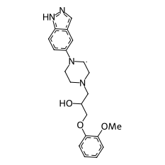 COc1ccccc1OCC(O)CN1C[CH]N(c2ccc3[nH]ncc3c2)CC1